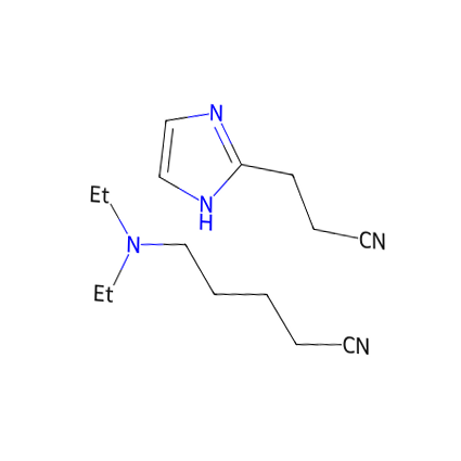 CCN(CC)CCCCC#N.N#CCCc1ncc[nH]1